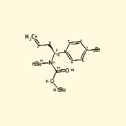 C=CC[C@@H](c1ccc(Br)cc1)N(CCCC)C(=O)OC(C)(C)C